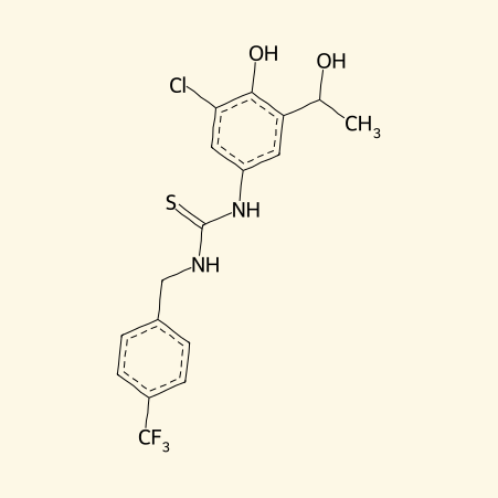 CC(O)c1cc(NC(=S)NCc2ccc(C(F)(F)F)cc2)cc(Cl)c1O